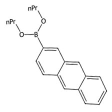 CCCOB(OCCC)c1ccc2cc3ccccc3cc2c1